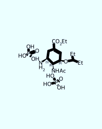 CCOC(=O)C1=C[C@@H](OC(CC)CC)[C@H](NC(C)=O)[C@@H](N)C1.O=P(O)(O)O.O=P(O)(O)O